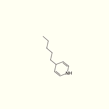 CCCCCC1C=CNC=C1